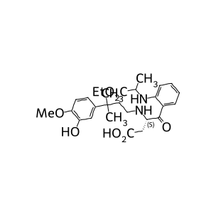 CCOC(=O)C(C)Nc1ccccc1C(=O)[C@H](CC(=O)O)NCCC(C)(C)c1ccc(OC)c(O)c1